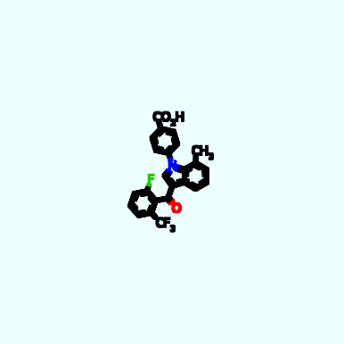 Cc1cccc2c(C(=O)c3c(F)cccc3C(F)(F)F)cn(-c3ccc(C(=O)O)cc3)c12